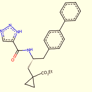 CCOC(=O)C1(C[C@@H](Cc2ccc(-c3ccccc3)cc2)NC(=O)c2cnn[nH]2)CC1